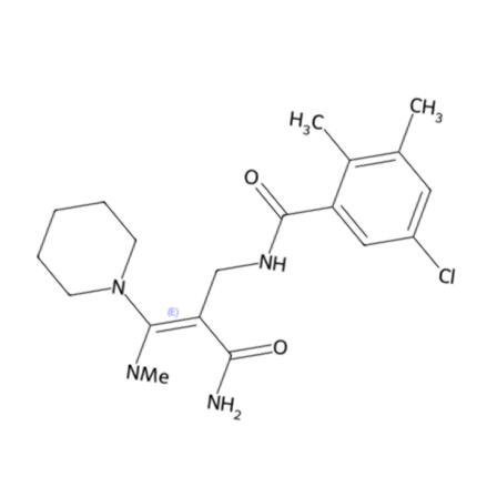 CN/C(=C(/CNC(=O)c1cc(Cl)cc(C)c1C)C(N)=O)N1CCCCC1